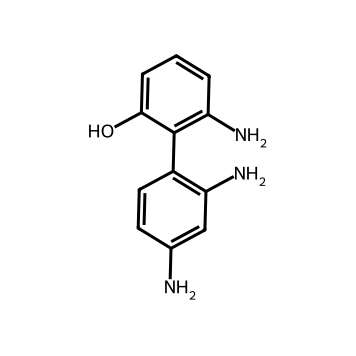 Nc1ccc(-c2c(N)cccc2O)c(N)c1